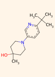 CC1(O)CCN(c2ccc(C(C)(C)C)nc2)CC1